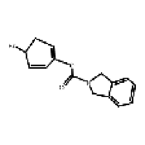 O=C(OC1=CCC(Br)C=C1)N1Cc2ccccc2C1